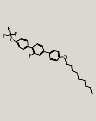 CCCCCCCCCOc1ccc(-c2ccc(-c3ccc(OC(F)(F)F)cc3)c(F)c2)cc1